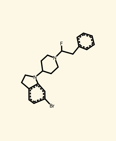 FC(Cc1ccccc1)N1CCC(N2CCc3ccc(Br)cc32)CC1